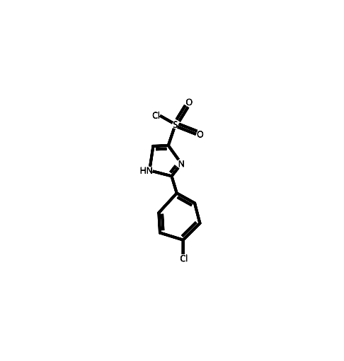 O=S(=O)(Cl)c1c[nH]c(-c2ccc(Cl)cc2)n1